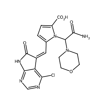 NC(=O)C(N1CCOCC1)n1c(C=C2C(=O)Nc3ncnc(Cl)c32)ccc1C(=O)O